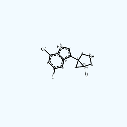 Fc1cc(Cl)c2[nH]cc(C34CNC[C@H]3C4)c2c1